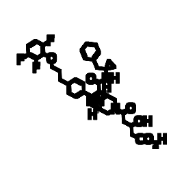 O=C(O)C[C@H](O)CC(=O)N1C[C@H]2CC(c3ccc(CCCOc4c(F)ccc(F)c4F)cc3)=C(C(=O)NC3(Cc4ccccc4)CC3)[C@@H](C1)N2